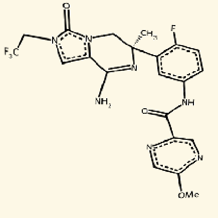 COc1cnc(C(=O)Nc2ccc(F)c([C@]3(C)Cn4c(cn(CC(F)(F)F)c4=O)C(N)=N3)c2)cn1